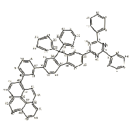 c1ccc(-c2nc(-c3ccccc3)nc(-c3ccc4c(c3)C(c3ccccc3)(c3ccccc3)c3cc(-c5cccc(-c6ccc7ccc8cccc9ccc6c7c89)c5)ccc3-4)n2)cc1